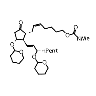 CCCCC[C@@H](/C=C/[C@H]1[C@H](OC2CCCCO2)CC(=O)[C@@H]1C/C=C\CCCCOC(=O)NC)OC1CCCCO1